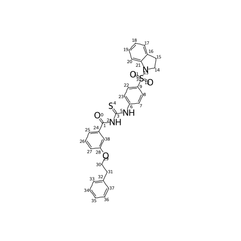 O=C(NC(=S)Nc1ccc(S(=O)(=O)N2CCc3ccccc32)cc1)c1cccc(OCCc2ccccc2)c1